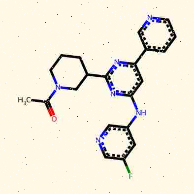 CC(=O)N1CCCC(c2nc(Nc3cncc(F)c3)cc(-c3cccnc3)n2)C1